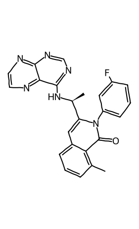 Cc1cccc2cc([C@H](C)Nc3ncnc4nccnc34)n(-c3cccc(F)c3)c(=O)c12